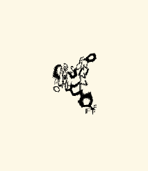 O=C(NCc1cc(-c2ccc(C(F)(F)F)cc2)nc(N2CCN(c3ccccc3F)CC2)c1)[C@@H]1CCCN1S(=O)(=O)c1ccc(Cl)s1